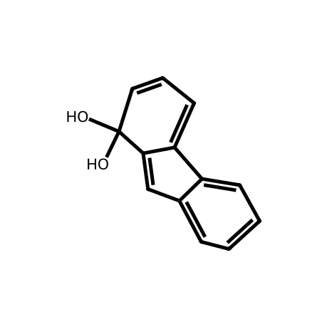 OC1(O)C=CC=C2C1=Cc1ccccc12